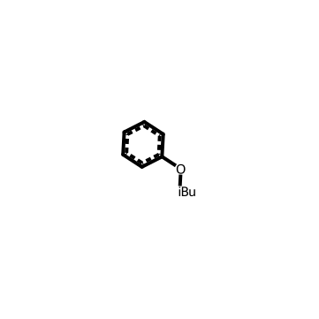 C[CH]C(C)Oc1ccccc1